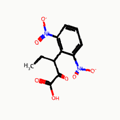 CCC(C(=O)C(=O)O)c1c([N+](=O)[O-])cccc1[N+](=O)[O-]